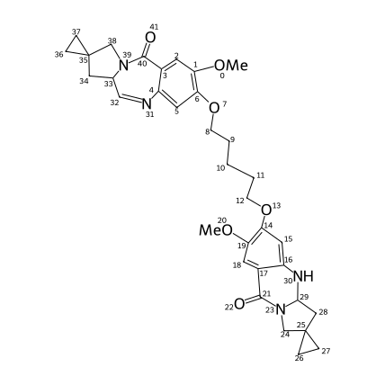 COc1cc2c(cc1OCCCCCOc1cc3c(cc1OC)C(=O)N1CC4(CC4)CC1N3)N=CC1CC3(CC3)CN1C2=O